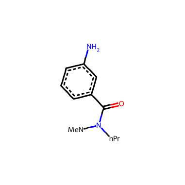 CCCN(NC)C(=O)c1cccc(N)c1